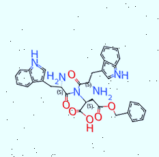 N[C@@H](Cc1c[nH]c2ccccc12)C(=O)N(C(=O)[C@@H](N)Cc1c[nH]c2ccccc12)[C@@H](CC(=O)OCc1ccccc1)C(=O)O